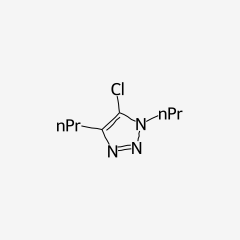 CCCc1nnn(CCC)c1Cl